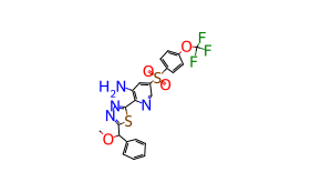 COC(c1ccccc1)c1nnc(-c2ncc(S(=O)(=O)c3ccc(OC(F)(F)F)cc3)cc2N)s1